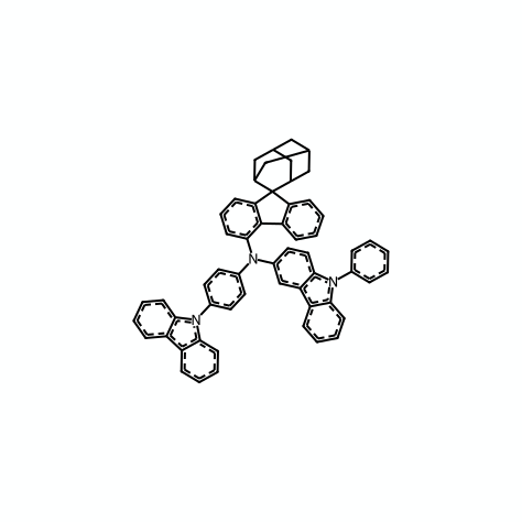 c1ccc(-n2c3ccccc3c3cc(N(c4ccc(-n5c6ccccc6c6ccccc65)cc4)c4cccc5c4-c4ccccc4C54C5CC6CC(C5)CC4C6)ccc32)cc1